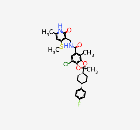 CSc1cc(C)[nH]c(=O)c1CNC(=O)c1cc(Cl)c2c(c1C)O[C@](C)([C@H]1CC[C@@H](c3ccc(F)cc3)CC1)O2